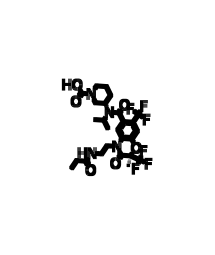 CCC(=O)NCCN1C(=O)[C@](C)(C(F)(F)F)Oc2cc(C(F)(F)F)c(C(=O)N(C(C)C)[C@@H]3CCCN(C(=O)O)C3)cc21